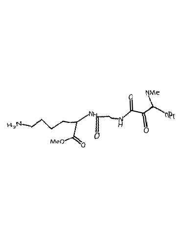 CCCC(NC)C(=O)C(=O)NCC(=O)NC(CCCCN)C(=O)OC